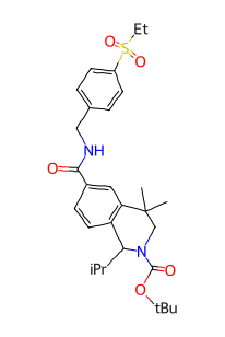 CCS(=O)(=O)c1ccc(CNC(=O)c2ccc3c(c2)C(C)(C)CN(C(=O)OC(C)(C)C)C3C(C)C)cc1